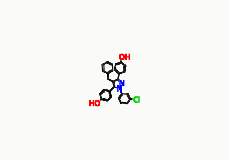 Oc1ccc(-c2nn(-c3cccc(Cl)c3)c(-c3ccc(O)cc3)c2Cc2ccccc2)cc1